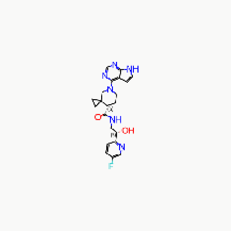 O=C(NC[C@H](O)c1ccc(F)cn1)[C@H]1CCN(c2ncnc3[nH]ccc23)CC12CC2